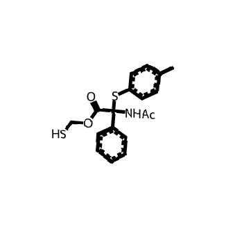 CC(=O)NC(Sc1ccc(C)cc1)(C(=O)OCS)c1ccccc1